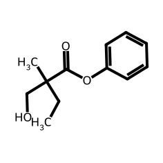 CCC(C)(CO)C(=O)Oc1ccccc1